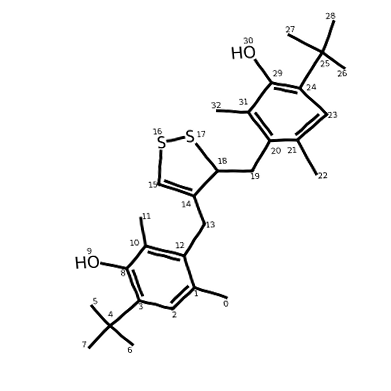 Cc1cc(C(C)(C)C)c(O)c(C)c1CC1=CSSC1Cc1c(C)cc(C(C)(C)C)c(O)c1C